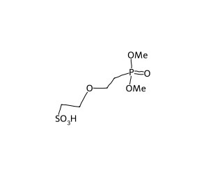 COP(=O)(CCOCCS(=O)(=O)O)OC